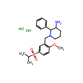 COc1ccc(S(=O)(=O)C(C)C)cc1CN1CCCC(N)C1c1ccccc1.Cl.Cl